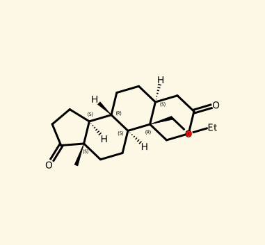 CCOC[C@]12CCC(=O)C[C@@H]1CC[C@@H]1[C@@H]2CC[C@]2(C)C(=O)CC[C@@H]12